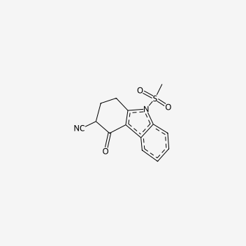 CS(=O)(=O)n1c2c(c3ccccc31)C(=O)C(C#N)CC2